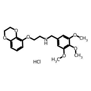 COc1cc(CNCCOc2cccc3c2OCCO3)cc(OC)c1OC.Cl